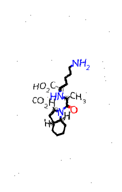 C[C@H](N[C@@H](CCCCN)C(=O)O)C(=O)N1[C@H](C(=O)O)C[C@H]2CCCC[C@@H]21